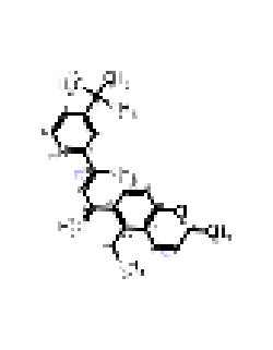 C=C(/C=C(\C)c1cc(C(C)(C)C)ccn1)c1ccc(C)c(/C=C\CC)c1CC